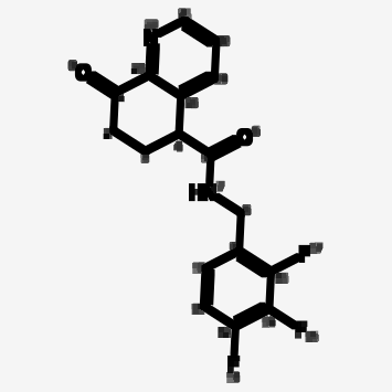 O=C1CCC(C(=O)NCc2ccc(F)c(F)c2F)c2cccnc21